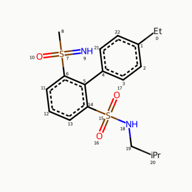 CCc1ccc(-c2c(S(C)(=N)=O)cccc2S(=O)(=O)NCC(C)C)cc1